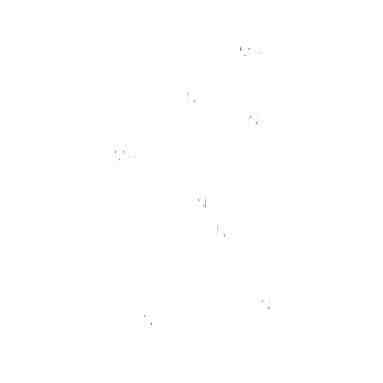 COc1ncc(-n2cc3cncc(C#N)c3n2)c(OC)n1